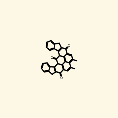 Cc1cc2c3c4c5c(cc(C)c14)C(=O)C1=C(c4ccccc4C1)C5C(=O)C3C1=C(Cc3ccccc31)C2=O